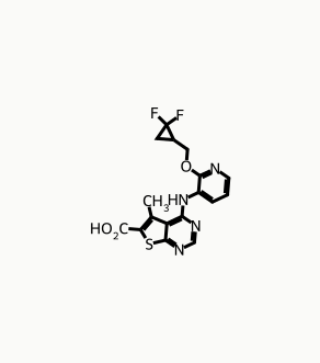 Cc1c(C(=O)O)sc2ncnc(Nc3cccnc3OCC3CC3(F)F)c12